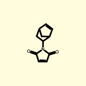 O=C1C=CC(=O)N1C1CC2C=CC1C2